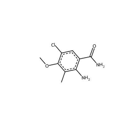 COc1c(Cl)cc(C(N)=O)c(N)c1C